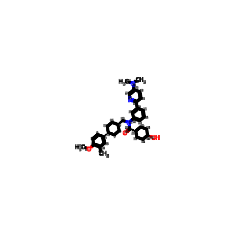 COc1ccc([C@H]2CC[C@H](CN(c3cccc(-c4ccc(N(C)C)cn4)c3)C(=O)[C@H]3CC[C@H](O)CC3)CC2)cc1C